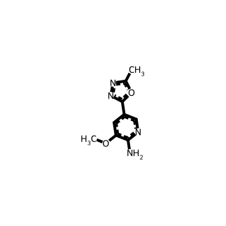 COc1cc(-c2nnc(C)o2)cnc1N